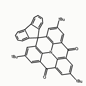 CC(C)(C)c1cc2c3c(c1)c(=O)c1cc(C(C)(C)C)cc4c(=O)c5cc(C(C)(C)C)cc(c5n3c14)C21c2ccccc2-c2ccccc21